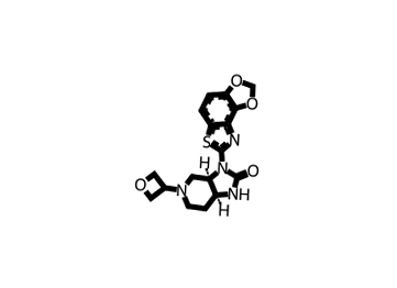 O=C1N[C@H]2CCN(C3COC3)C[C@H]2N1c1nc2c3c(ccc2s1)OCO3